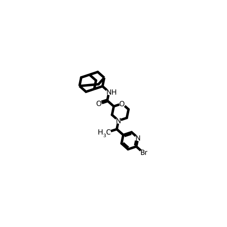 CC(c1ccc(Br)nc1)N1CCOC(C(=O)NC2C3CC4CC(C3)CC2C4)C1